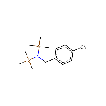 CS(C)(C)N(Cc1ccc(C#N)cc1)S(C)(C)C